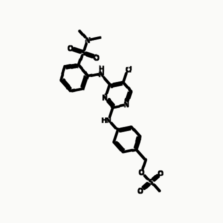 CN(C)S(=O)(=O)c1ccccc1Nc1nc(Nc2ccc(COS(C)(=O)=O)cc2)ncc1Cl